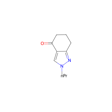 CCCn1cc2c(n1)CCCC2=O